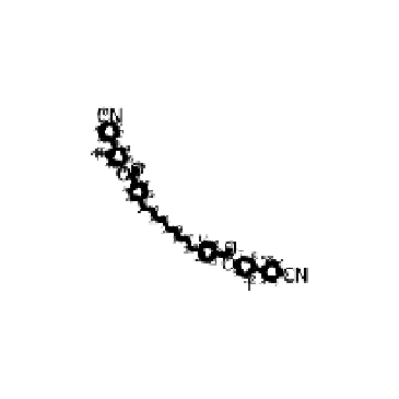 N#Cc1ccc(-c2ccc(OC(=O)c3ccc(CCCCCCCCCc4ccc(C(=O)Oc5ccc(-c6ccc(C#N)cc6)c(F)c5)cc4)cc3)cc2F)cc1